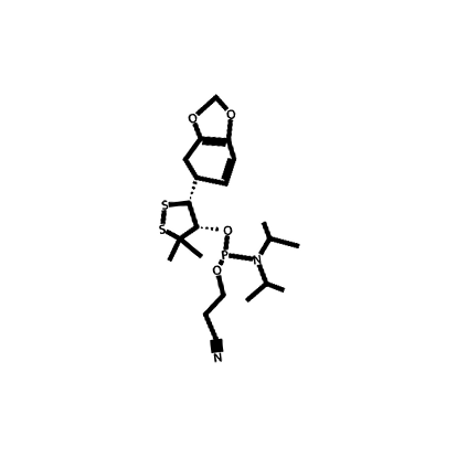 CC(C)N(C(C)C)P(OCCC#N)O[C@H]1[C@@H](C2C=CC3=C(C2)OCO3)SSC1(C)C